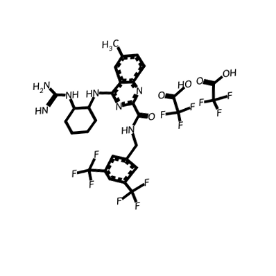 Cc1ccc2nc(C(=O)NCc3cc(C(F)(F)F)cc(C(F)(F)F)c3)nc(NC3CCCCC3NC(=N)N)c2c1.O=C(O)C(F)(F)F.O=C(O)C(F)(F)F